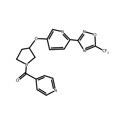 O=C(c1ccncc1)N1CCC(Oc2ccc(-c3noc(C(F)(F)F)n3)nc2)C1